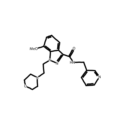 COc1cccc2c(C(=O)NCc3cccnc3)nn(CCN3CCOCC3)c12